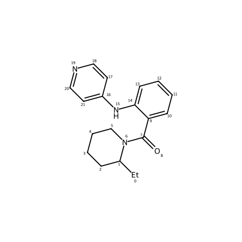 CCC1CCCCN1C(=O)c1ccccc1Nc1ccncc1